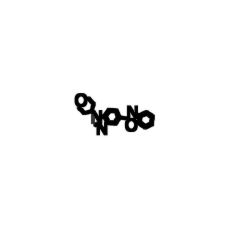 c1ccc2oc(-c3ccc4c(c3)ncn4C3CCOCC3)nc2c1